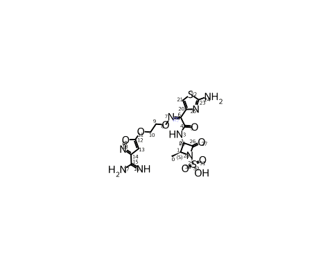 C[C@H]1[C@H](NC(=O)/C(=N\OCCOc2cc(C(=N)N)no2)c2csc(N)n2)C(=O)N1S(=O)(=O)O